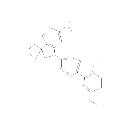 CCS(=O)(=O)c1ccc2c(c1)N(c1ncc(-c3cc([C@@H](C)O)ccc3F)cn1)CC21COC1